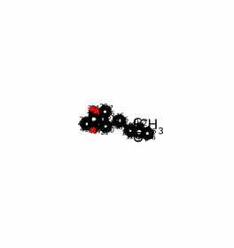 CC1(C)c2ccccc2Oc2ccc(C3=CCCC(c4cccc5c4-c4ccccc4C54c5ccccc5-c5cccc6cccc4c56)=C3)cc21